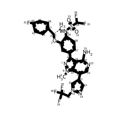 C[C@H](Oc1cc(-c2nn(C)c3c(-c4cnn(CC(F)(F)F)c4)cnc(N)c23)ccc1NS(=O)(=O)C(F)F)c1ccc(F)cc1